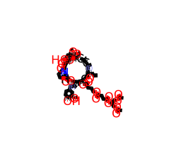 C=CC[C@@H]1/C=C(\C)C[C@H](C)C[C@H](OC)[C@H]2O[C@@](O)(C(=O)C(=O)N3CCCC[C@H]3C(=O)O[C@H](/C(C)=C/C3CC[C@@H](O)[C@H](OC)C3)[C@H](C)[C@@H](OC(=O)CCCOC(=O)CCC(=O)OC(COC(C)=O)COC(C)=O)CC1=O)[C@H](C)C[C@@H]2OC